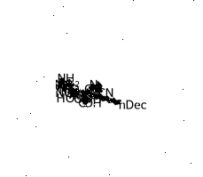 CCCCCCCCCCCCCCCCCCOCC(Oc1cc(C#N)ccn1)C(C[C@H]1O[C@@](C#N)(c2ccc3c(N)ncnn23)[C@H](O)[C@@H]1O)OP(=O)(O)O